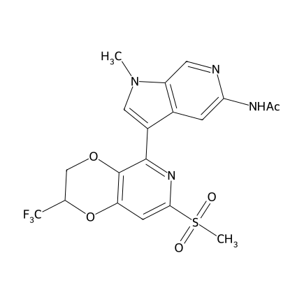 CC(=O)Nc1cc2c(-c3nc(S(C)(=O)=O)cc4c3OCC(C(F)(F)F)O4)cn(C)c2cn1